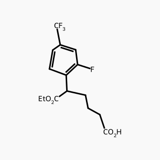 CCOC(=O)C(CCCC(=O)O)c1ccc(C(F)(F)F)cc1F